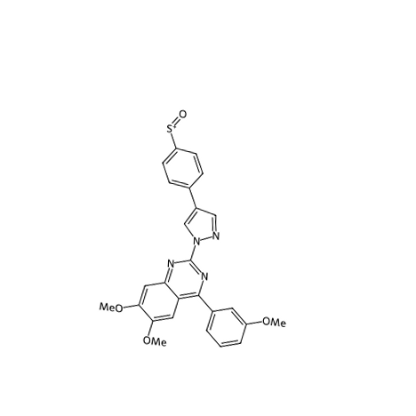 COc1cccc(-c2nc(-n3cc(-c4ccc([S+]=O)cc4)cn3)nc3cc(OC)c(OC)cc23)c1